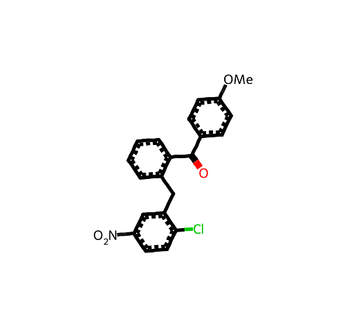 COc1ccc(C(=O)c2ccccc2Cc2cc([N+](=O)[O-])ccc2Cl)cc1